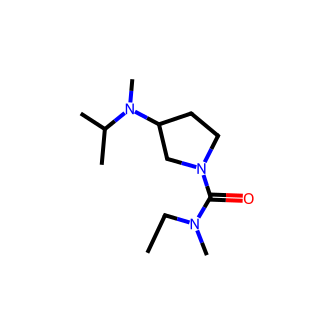 CCN(C)C(=O)N1CCC(N(C)C(C)C)C1